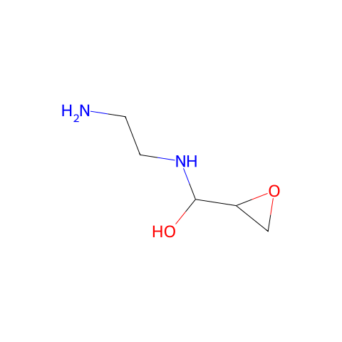 NCCNC(O)C1CO1